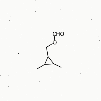 CC1C(C)C1COC=O